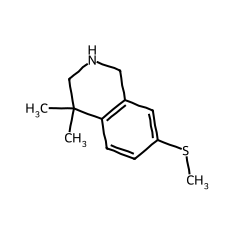 CSc1ccc2c(c1)CNCC2(C)C